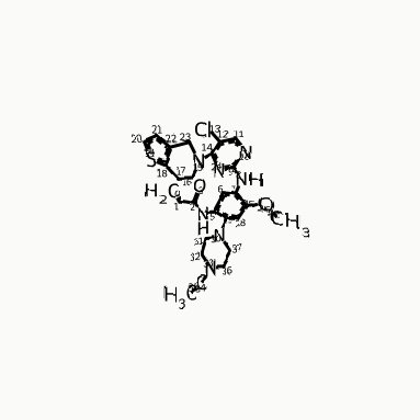 C=CC(=O)Nc1cc(Nc2ncc(Cl)c(N3CCc4sccc4C3)n2)c(OC)cc1N1CCN(CC)CC1